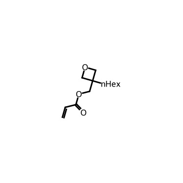 C=CC(=O)OCC1(CCCCCC)COC1